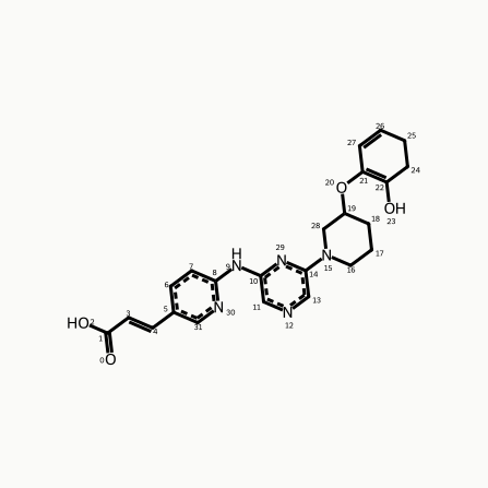 O=C(O)/C=C/c1ccc(Nc2cncc(N3CCCC(OC4=C(O)CCC=C4)C3)n2)nc1